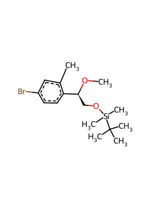 CO[C@@H](CO[Si](C)(C)C(C)(C)C)c1ccc(Br)cc1C